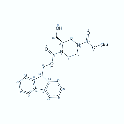 CC(C)(C)OC(=O)N1CCN(C(=O)OCC2c3ccccc3-c3ccccc32)[C@@H](CO)C1